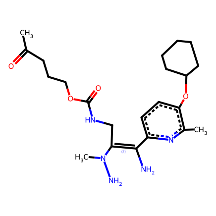 CC(=O)CCCOC(=O)NC/C(=C(/N)c1ccc(OC2CCCCC2)c(C)n1)N(C)N